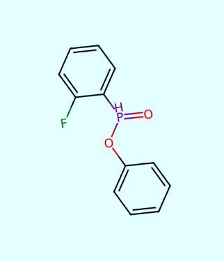 O=[PH](Oc1ccccc1)c1ccccc1F